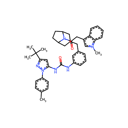 Cc1ccc(-n2nc(C(C)(C)C)cc2NC(=O)Nc2cccc(CC3CC4CCC(C3)N4C(=O)Cc3cn(C)c4ccccc34)c2)cc1